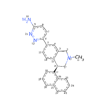 CN1Cc2cc(-c3ccc(N)nn3)ccc2[C@H](c2cccc3ccccc23)C1